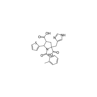 Cc1ccccc1C(=O)N1C(c2cccs2)C(C(=O)O)CC1(Cc1c[nH]cn1)C(=O)O